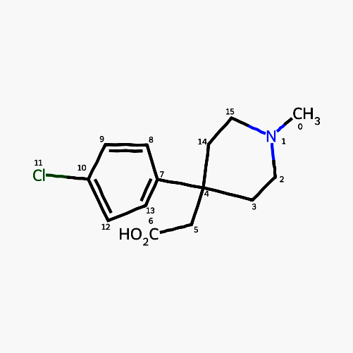 CN1CCC(CC(=O)O)(c2ccc(Cl)cc2)CC1